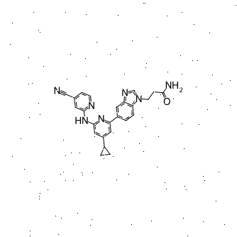 N#Cc1ccnc(Nc2cc(C3CC3)cc(-c3ccc4c(c3)ncn4CCC(N)=O)n2)c1